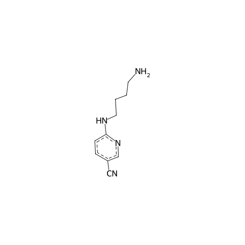 N#Cc1ccc(NCCCCN)nc1